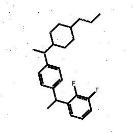 CCCC1CCC(C(C)c2ccc(C(C)c3cccc(F)c3F)cc2)CC1